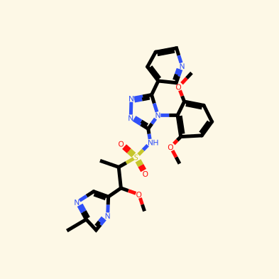 COc1cccc(OC)c1-n1c(NS(=O)(=O)C(C)C(OC)c2cnc(C)cn2)nnc1-c1cccnc1